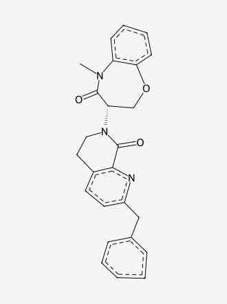 CN1C(=O)[C@@H](N2CCc3ccc(Cc4ccccc4)nc3C2=O)COc2ccccc21